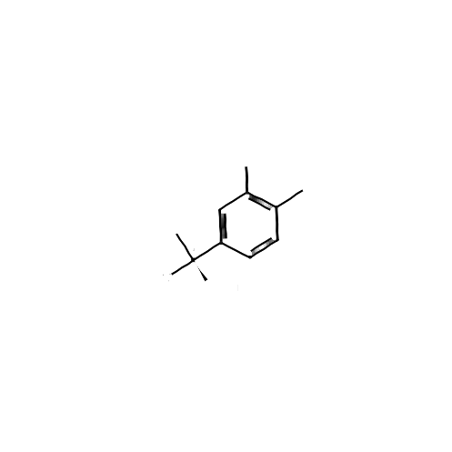 Cc1ccc([C@@](C)(N)C(=O)O)cc1Cl